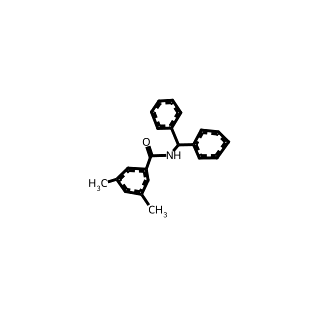 Cc1cc(C)cc(C(=O)NC(c2ccccc2)c2ccccc2)c1